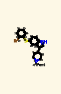 CCCCCN1CC=C(c2c[nH]c3ccc(Sc4ccccc4Br)cc23)CC1